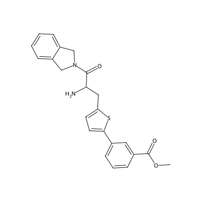 COC(=O)c1cccc(-c2ccc(CC(N)C(=O)N3Cc4ccccc4C3)s2)c1